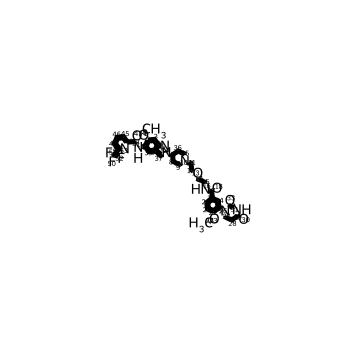 COc1cc2nn(C3CCN(CCOCCNC(=O)c4ccc(OC)c(N5CCC(=O)NC5=O)c4)CC3)cc2cc1NC(=O)c1cccc(C(F)(F)F)n1